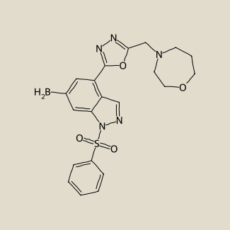 Bc1cc(-c2nnc(CN3CCCOCC3)o2)c2cnn(S(=O)(=O)c3ccccc3)c2c1